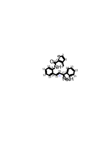 Cc1ccsc1C(=O)Nc1ccccc1/C=C/c1n[nH]c2ccccc12